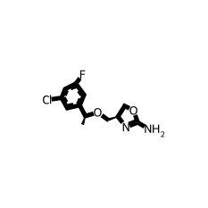 C[C@H](OC[C@H]1COC(N)=N1)c1cc(F)cc(Cl)c1